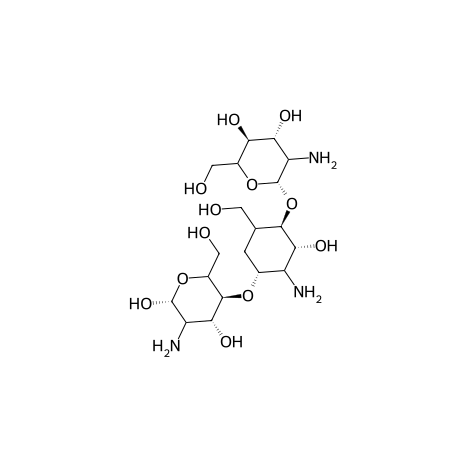 NC1[C@H](O[C@@H]2C(CO)C[C@@H](O[C@@H]3C(CO)O[C@@H](O)C(N)[C@H]3O)C(N)[C@H]2O)OC(CO)[C@@H](O)[C@@H]1O